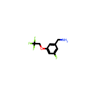 NCc1cc(F)cc(OCC(F)(F)F)c1